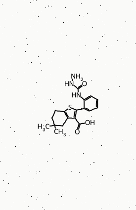 CC1(C)CCc2sc(-c3ccccc3NC(=O)NN)c(C(=O)O)c2C1